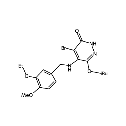 CCOc1cc(CNc2c(OC(C)CC)n[nH]c(=O)c2Br)ccc1OC